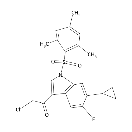 Cc1cc(C)c(S(=O)(=O)n2cc(C(=O)CCl)c3cc(F)c(C4CC4)cc32)c(C)c1